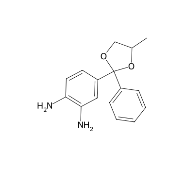 CC1COC(c2ccccc2)(c2ccc(N)c(N)c2)O1